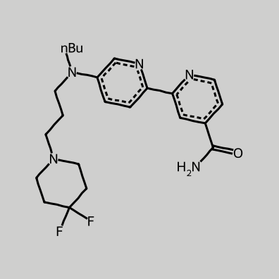 CCCCN(CCCN1CCC(F)(F)CC1)c1ccc(-c2cc(C(N)=O)ccn2)nc1